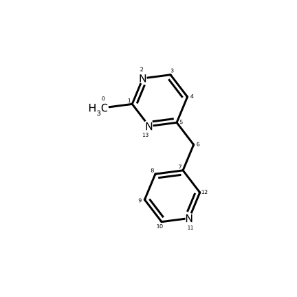 Cc1nccc(Cc2cccnc2)n1